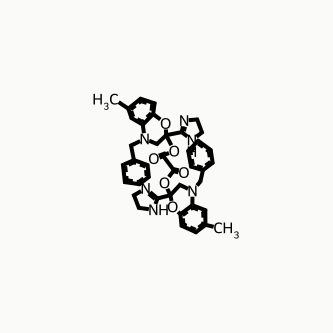 Cc1ccc2c(c1)N(Cc1ccccc1)CC(OC(=O)C(=O)OC1(C3=NCCN3)CN(Cc3ccccc3)c3cc(C)ccc3O1)(C1=NCCN1)O2